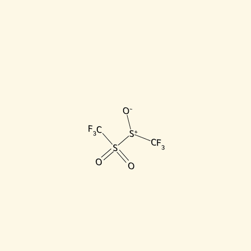 O=S(=O)([S+]([O-])C(F)(F)F)C(F)(F)F